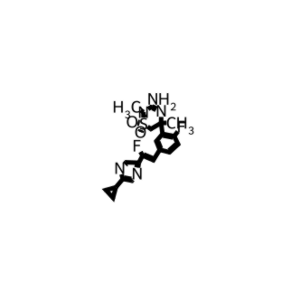 CN1C(N)=NC(C)(c2cc(C=C(F)c3cnc(C4CC4)cn3)ccc2F)CS1(=O)=O